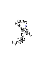 C[C@@H]1CCn2nc(-c3ccc(C(=O)Nc4cc(C(F)(F)F)ccn4)cc3)c3c(N)ncc(c32)/C=C/CN(C)CCCC(=O)N1